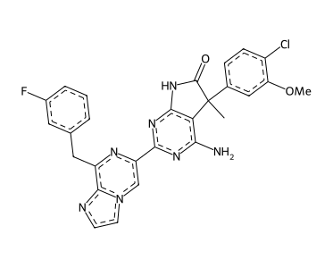 COc1cc(C2(C)C(=O)Nc3nc(-c4cn5ccnc5c(Cc5cccc(F)c5)n4)nc(N)c32)ccc1Cl